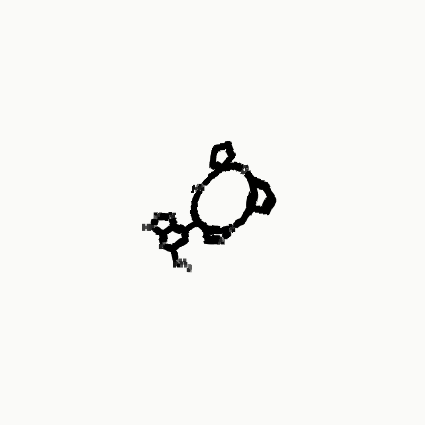 Nc1cc(C2CCNCC3(CCCC3)COc3cccc(c3)Cn3cc2cn3)c2nn[nH]c2n1